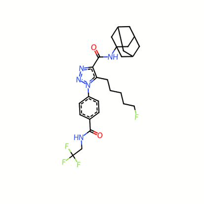 O=C(NCC(F)(F)F)c1ccc(-n2nnc(C(=O)NC34CC5CC(CC(C5)C3)C4)c2CCCCCF)cc1